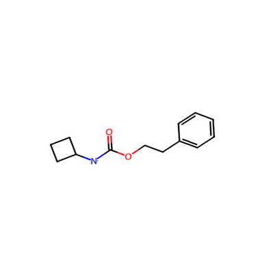 O=C([N]C1CCC1)OCCc1ccccc1